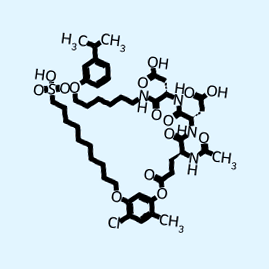 CC(=O)N[C@@H](CCC(=O)Oc1cc(OCCCCCCCCCCS(=O)(=O)O)c(Cl)cc1C)C(=O)N[C@@H](CC(=O)O)C(=O)N[C@@H](CC(=O)O)C(=O)NCCCCCCOc1cccc(C(C)C)c1